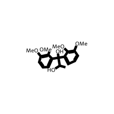 COc1cccc(C(O)(c2cccc(OC)c2OC)C(C)O)c1OC